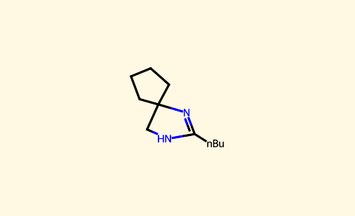 CCCCC1=NC2(CCCC2)CN1